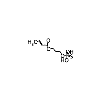 CC=CC(=O)OCCCOP(O)(O)=S